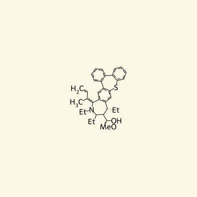 C=C/C(C)=C1\c2cc3c(cc2[C@H](CC)C([C@@H](O)OC)C(CC)N1CC)Sc1ccccc1-c1ccccc1-3